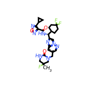 CC1(F)CNC(=O)N(Cc2cnn3cc([C@@H](NC(=O)c4nonc4C4CC4)C4CCC(F)(F)CC4)nc3c2)C1